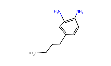 Nc1ccc(CCCC(=O)O)cc1N